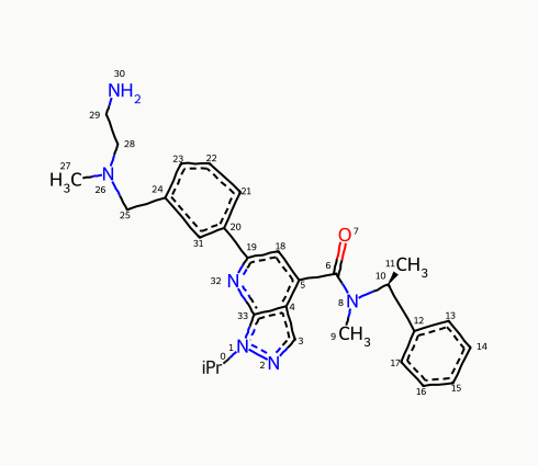 CC(C)n1ncc2c(C(=O)N(C)[C@@H](C)c3ccccc3)cc(-c3cccc(CN(C)CCN)c3)nc21